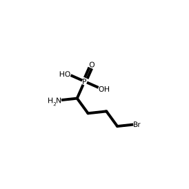 NC(CCCBr)P(=O)(O)O